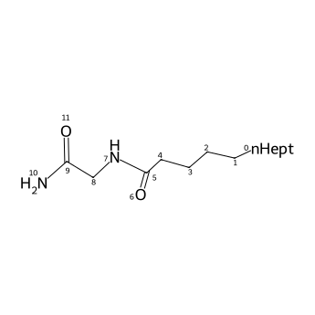 CCCCCCCCCCCC(=O)NCC(N)=O